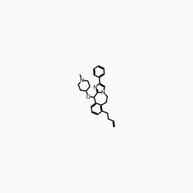 C=CCCc1cccc2c1CCn1cc(-c3ccccc3)nc1C2OC1CCN(C)CC1